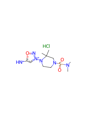 CN(C)S(=O)(=O)N1CCN([n+]2cc([NH-])on2)C(C)(C)C1.Cl